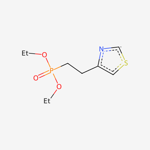 CCOP(=O)(CCc1cs[c]n1)OCC